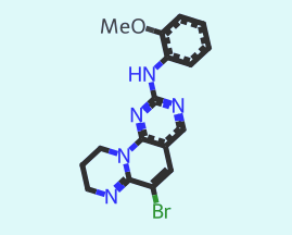 COc1ccccc1Nc1ncc2c(n1)N1CCCN=C1C(Br)=C2